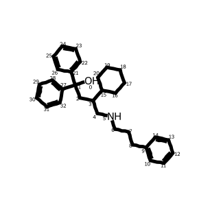 OC(CC(CNCCCc1ccccc1)C1CCCCC1)(c1ccccc1)c1ccccc1